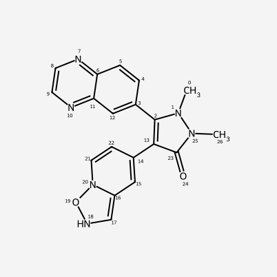 Cn1c(-c2ccc3nccnc3c2)c(C2=CC3=CNON3C=C2)c(=O)n1C